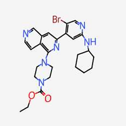 CCOC(=O)N1CCN(c2nc(-c3cc(NC4CCCCC4)ncc3Br)cc3cnccc23)CC1